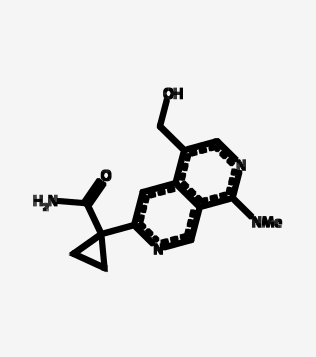 CNc1ncc(CO)c2cc(C3(C(N)=O)CC3)ncc12